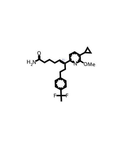 COc1nc(/C(=C/CCCC(N)=O)CCc2ccc(C(C)(F)F)cc2)ccc1C1CC1